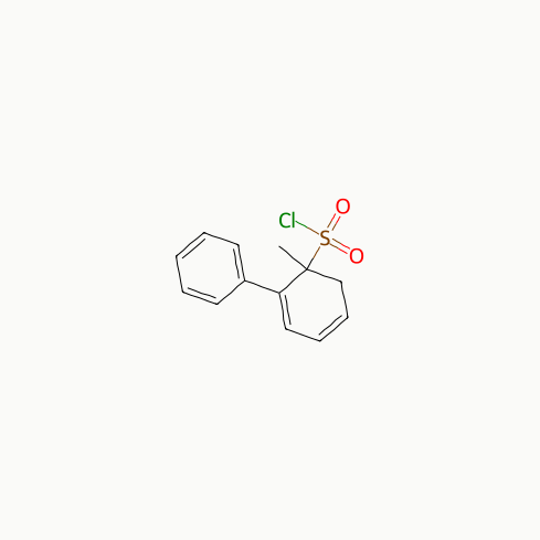 CC1(S(=O)(=O)Cl)CC=CC=C1c1ccccc1